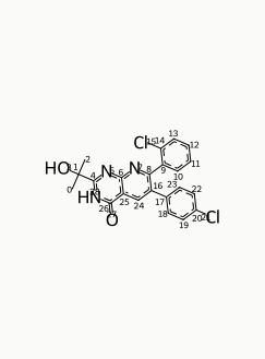 CC(C)(O)c1nc2nc(-c3ccccc3Cl)c(-c3ccc(Cl)cc3)cc2c(=O)[nH]1